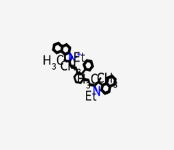 CCN1/C(=C/C=C2\CCCC(/C=C/C3=[N+](CC)c4ccc5ccccc5c4C3(C)C)=C2c2ccccc2)C(C)(C)c2c1ccc1ccccc21